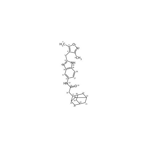 Cc1noc(C)c1Cc1nc2cc(NC(=O)CC3C4CC5CC(C4)CC3C5)ccc2[nH]1